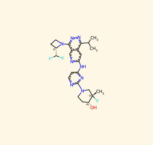 CC(C)c1nnc(N2CC[C@H]2C(F)F)c2cnc(Nc3ccnc(N4CC[C@@H](O)[C@@](C)(F)C4)n3)cc12